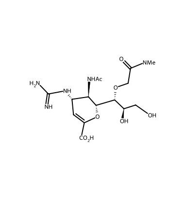 CNC(=O)CO[C@@H]([C@@H]1OC(C(=O)O)=C[C@H](NC(=N)N)[C@H]1NC(C)=O)[C@H](O)CO